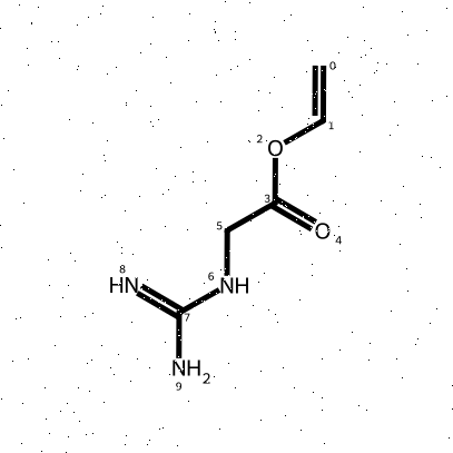 C=COC(=O)CNC(=N)N